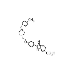 Cc1ccc(CN2CCC(CCOc3ccc(-c4nc5cc(C(=O)O)ccc5[nH]4)cc3)CC2)cc1